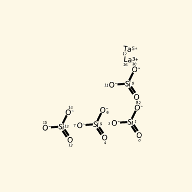 O=[Si]([O-])[O-].O=[Si]([O-])[O-].O=[Si]([O-])[O-].O=[Si]([O-])[O-].[La+3].[Ta+5]